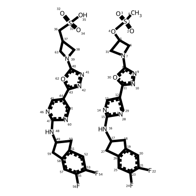 CS(=O)(=O)OC1CN(c2nnc(-c3cnc(NC4Cc5cc(F)c(F)cc5C4)nc3)o2)C1.O=S(=O)(O)CC1CN(c2nnc(-c3cnc(NC4Cc5cc(F)c(F)cc5C4)nc3)o2)C1